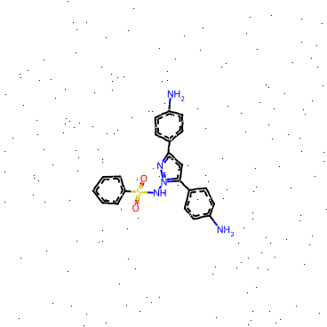 Nc1ccc(-c2cc(-c3ccc(N)cc3)n(NS(=O)(=O)c3ccccc3)n2)cc1